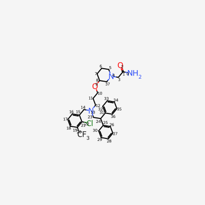 NC(=O)CN1CCCC(OCCCN(Cc2cccc(C(F)(F)F)c2Cl)CC(c2ccccc2)c2ccccc2)C1